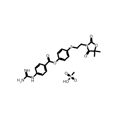 CC1(C)OC(=O)N(CCSc2ccc(OC(=O)c3ccc(NC(=N)N)cc3)cc2)C1=O.CS(=O)(=O)O